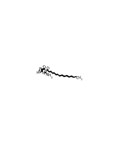 CCCCCCCCCCCCCCCC(=O)n1c(N)nc2[nH]cnc2c1=O